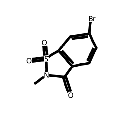 CN1C(=O)c2ccc(Br)cc2S1(=O)=O